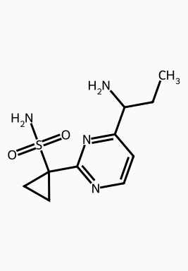 CCC(N)c1ccnc(C2(S(N)(=O)=O)CC2)n1